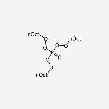 CCCCCCCCOOP(=O)(OOCCCCCCCC)OOCCCCCCCC